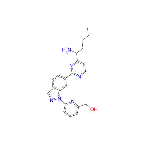 CCCCC(N)c1ccnc(-c2ccc3cnn(-c4cccc(CO)n4)c3c2)n1